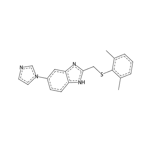 Cc1cccc(C)c1SCc1nc2cc(-n3ccnc3)ccc2[nH]1